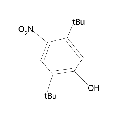 CC(C)(C)c1cc([N+](=O)[O-])c(C(C)(C)C)cc1O